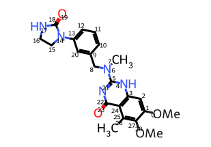 COc1cc2[nH]c(N(C)Cc3cccc(N4CCNC4=O)c3)nc(=O)c2c(C)c1OC